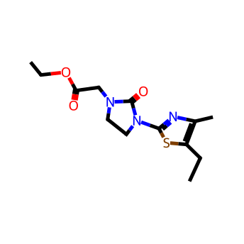 CCOC(=O)CN1CCN(c2nc(C)c(CC)s2)C1=O